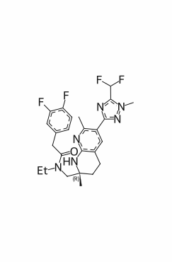 CCN(C[C@@]1(C)CCc2cc(-c3nc(C(F)F)n(C)n3)c(C)nc2N1)C(=O)Cc1ccc(F)c(F)c1